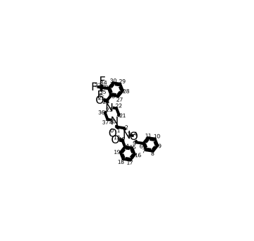 O=C(CN(OCc1ccccc1)C(=O)c1ccccc1)N1CCN(C(=O)c2ccccc2C(F)(F)F)CC1